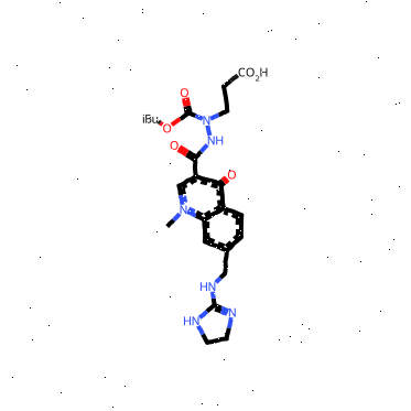 CCC(C)OC(=O)N(CCC(=O)O)NC(=O)c1cn(C)c2cc(CNC3=NCCN3)ccc2c1=O